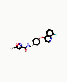 Cc1cc(C(=O)NC[C@H]2CC[C@H](Oc3ccnc4c(F)cccc34)CC2)no1